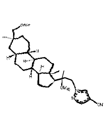 COC[C@@]1(C)CC[C@H]2[C@H](CC[C@@H]3[C@@H]2CC[C@@]2(C)[C@H]3CC[C@@H]2[C@](C)(Cn2cc(C#N)cn2)OC)C1